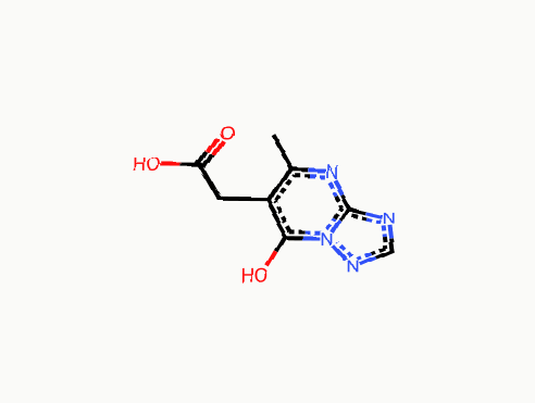 Cc1nc2ncnn2c(O)c1CC(=O)O